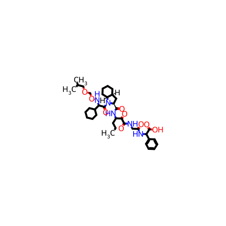 CCCC(NC(=O)[C@@H]1C[C@@H]2CCCC[C@@H]2N1C(=O)C(NOCOCC(C)C)C1CCCCC1)C(=O)C(=O)NCC(=O)NC(C(=O)O)c1ccccc1